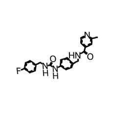 Cc1cc(C(=O)NCc2ccc(NC(=O)NCc3ccc(F)cc3)cc2)ccn1